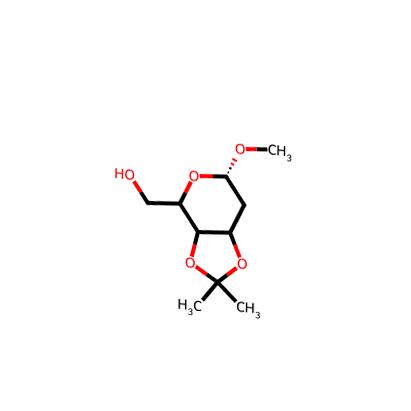 CO[C@@H]1CC2OC(C)(C)OC2C(CO)O1